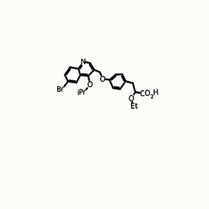 CCOC(Cc1ccc(OCc2cnc3ccc(Br)cc3c2OC(C)C)cc1)C(=O)O